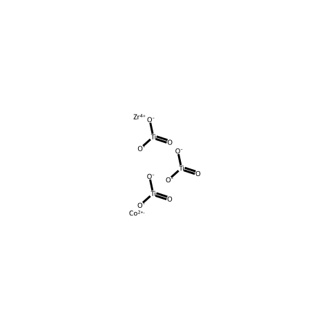 [Co+2].[O]=[Ti]([O-])[O-].[O]=[Ti]([O-])[O-].[O]=[Ti]([O-])[O-].[Zr+4]